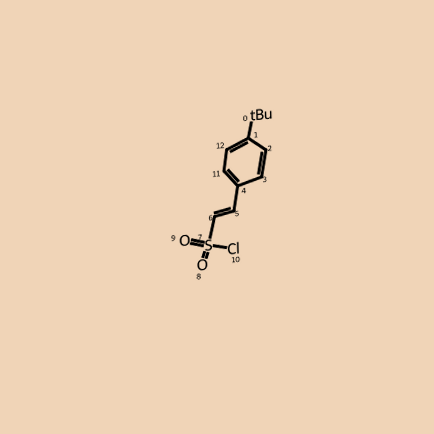 CC(C)(C)c1ccc(C=CS(=O)(=O)Cl)cc1